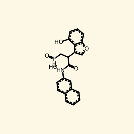 O=C(Nc1ccc2ccccc2c1)C(C[PH](=O)O)c1coc2cccc(O)c12